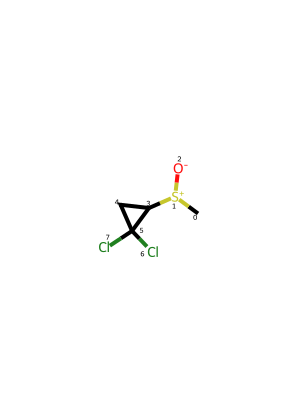 C[S+]([O-])C1CC1(Cl)Cl